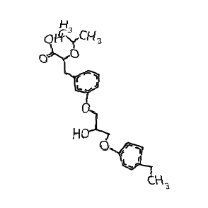 CCc1ccc(OCC(O)COc2cccc(CC(OC(C)C)C(=O)O)c2)cc1